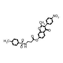 Cc1ccc(S(=O)(=O)NCCC(=O)Oc2ccc3c(=O)c(-c4ccc([N+](=O)[O-])cc4)c(C)oc3c2)cc1